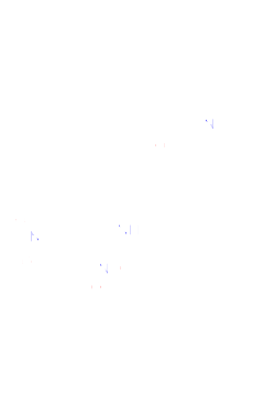 CCN(CC)CCOc1ccc(Nc2ccc([N+](=O)[O-])cc2[N+](=O)[O-])cc1